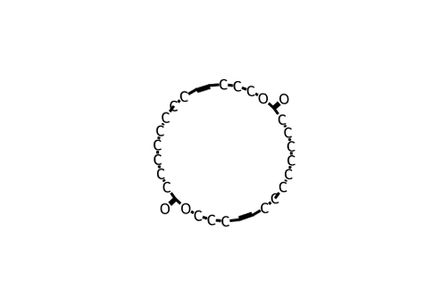 O=C1CCCCCCCCC=CCCCOC(=O)CCCCCCCCC=CCCCO1